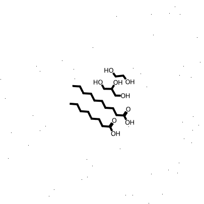 CCCCCCCC(=O)O.CCCCCCCCCC(=O)O.OCC(O)CO.OCCO